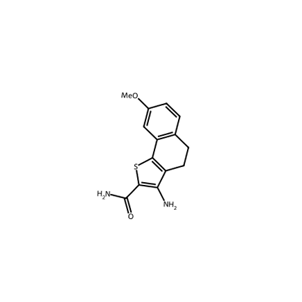 COc1ccc2c(c1)-c1sc(C(N)=O)c(N)c1CC2